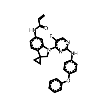 C=CC(=O)Nc1ccc2c(c1)N(c1nc(Nc3ccc(Oc4ccccc4)cc3)ncc1F)CC21CC1